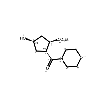 CCOC(=O)[C@@H]1C[C@H](O)C[C@H]1C(=O)N1CCOCC1